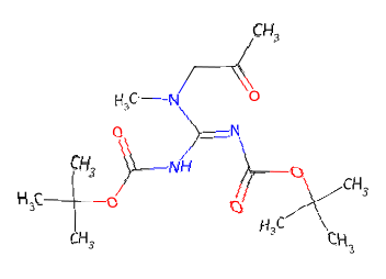 CC(=O)CN(C)C(=NC(=O)OC(C)(C)C)NC(=O)OC(C)(C)C